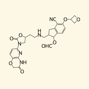 N#Cc1c(OC2COC2)ccc2c1CC(CNCCC1CN(c3ccc4c(n3)NC(=O)CO4)C(=O)O1)C2OC=O